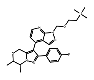 CC1OCc2c(-c3ccnc4c3cnn4COCC[Si](C)(C)C)c(-c3ccc(F)cc3)nn2C1C